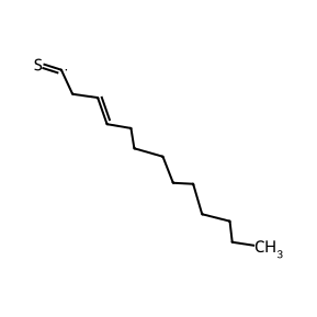 CCCCCCCCCC=CC[C]=S